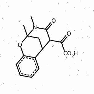 CN1C(=O)C(C(=O)C(=O)O)C2CC1(C)Oc1ccccc12